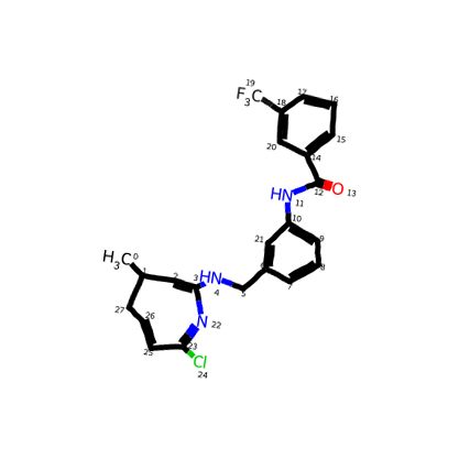 CC1\C=C(NCc2cccc(NC(=O)c3cccc(C(F)(F)F)c3)c2)/N=C(Cl)\C=C\C1